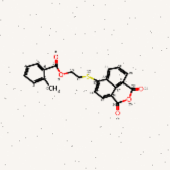 Cc1ccccc1C(=O)OCCSc1ccc2c3c(cccc13)C(=O)OC2=O